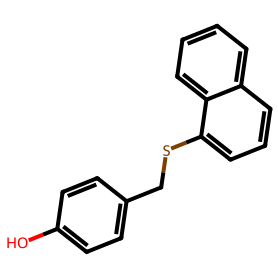 Oc1ccc(CSc2cccc3ccccc23)cc1